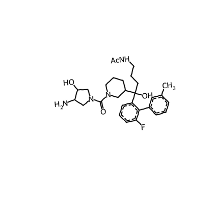 CC(=O)NCCCC(O)(c1cccc(F)c1-c1cccc(C)c1)C1CCCN(C(=O)N2CC(N)C(O)C2)C1